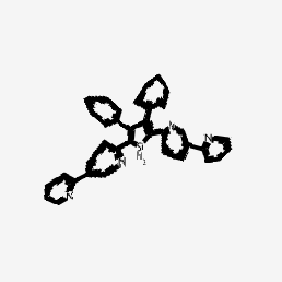 c1ccc(C2=C(c3ccc(-c4ccccn4)cn3)[SiH2]C(c3ccc(-c4ccccn4)cn3)=C2c2ccccc2)cc1